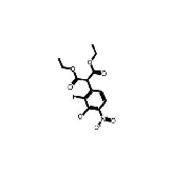 CCOC(=O)C(C(=O)OCC)c1ccc([N+](=O)[O-])c(Cl)c1F